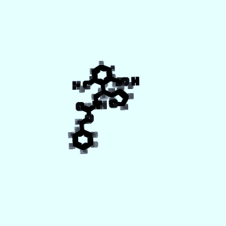 Cc1cccc(S(=O)(=O)O)c1[C@H](CNC(=O)OCc1ccccc1)[C@@H]1C=CCO1